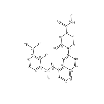 CNC(=O)C1CCN(c2cc3c(N[C@H](C)c4cccc(C(F)F)c4F)ccnc3cn2)C(=O)C1